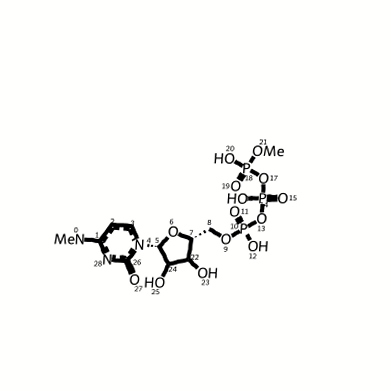 CNc1ccn([C@@H]2O[C@H](COP(=O)(O)OP(=O)(O)OP(=O)(O)OC)C(O)C2O)c(=O)n1